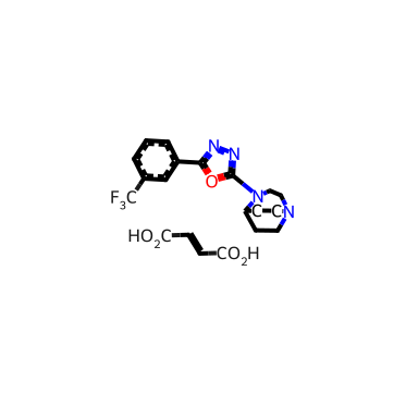 FC(F)(F)c1cccc(-c2nnc(N3CCN4CCC3CC4)o2)c1.O=C(O)/C=C/C(=O)O